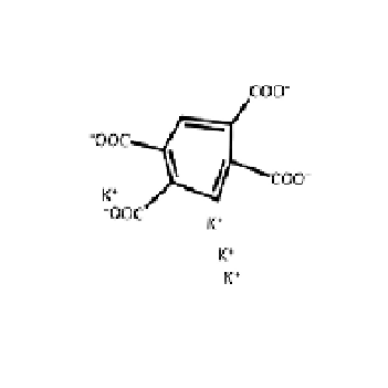 O=C([O-])c1cc(C(=O)[O-])c(C(=O)[O-])cc1C(=O)[O-].[K+].[K+].[K+].[K+]